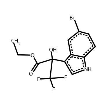 CCOC(=O)C(O)(c1c[nH]c2ccc(Br)cc12)C(F)(F)F